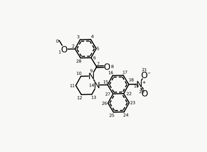 COc1cccc(C(=O)N2CCCCN2c2ccc([N+](=O)[O-])c3ccccc23)c1